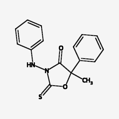 CC1(c2ccccc2)OC(=S)N(Nc2ccccc2)C1=O